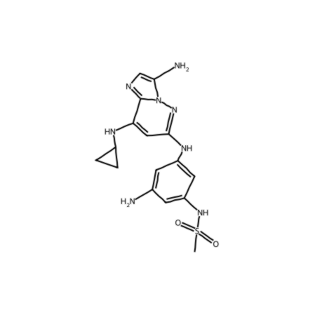 CS(=O)(=O)Nc1cc(N)cc(Nc2cc(NC3CC3)c3ncc(N)n3n2)c1